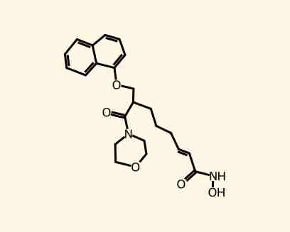 O=C(C=CCCCC(COc1cccc2ccccc12)C(=O)N1CCOCC1)NO